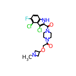 CN1CC(OCC(=O)N2CCN(C(=O)c3[nH]c4ccc(F)c(Cl)c4c3Cl)CC2)C1